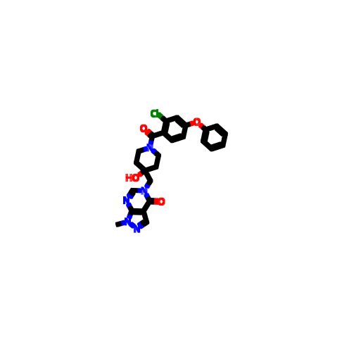 Cn1ncc2c(=O)n(CC3(O)CCN(C(=O)c4ccc(Oc5ccccc5)cc4Cl)CC3)cnc21